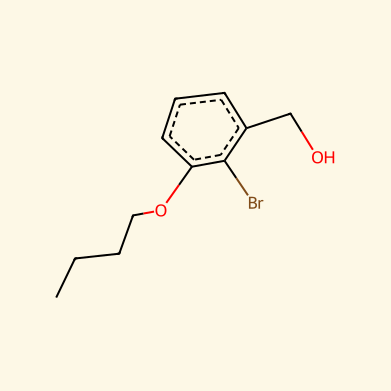 CCCCOc1cccc(CO)c1Br